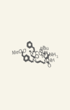 CCCCOc1nc(N)c2[nH]c(=O)n(CCCN(Cc3ccc(CC(=O)OC)cc3)C(=O)CN(C)[C@@H](Cc3ccccc3)C(=O)O)c2n1